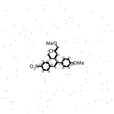 C\C=C/C(=C\C=C\OC)C(=C\c1ccc([N+](=O)[O-])cc1)/c1ccc(OC)cc1